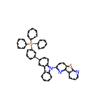 c1ccc(S(c2ccccc2)(c2ccccc2)c2cccc(-c3ccc4c(c3)c3ccccc3n4-c3ccc4sc5ncccc5c4n3)c2)cc1